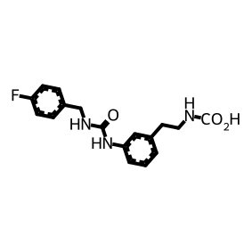 O=C(O)NCCc1cccc(NC(=O)NCc2ccc(F)cc2)c1